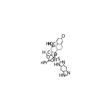 CCC[C@@H]1O[C@@H]2CC3C4CCC5=CC(=O)C=CC5(C)C4[C@@H](O)CC3(C)[C@]2(C(=O)CSc2nc3cc4nc[nH]c4cc3[nH]2)O1